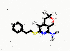 CCN(CC)c1nc(SCCc2ccccc2)c(C#N)c2c1COC(C)(C)C2